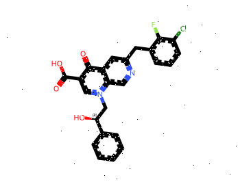 O=C(O)c1cn(C[C@H](O)c2ccccc2)c2cnc(Cc3cccc(Cl)c3F)cc2c1=O